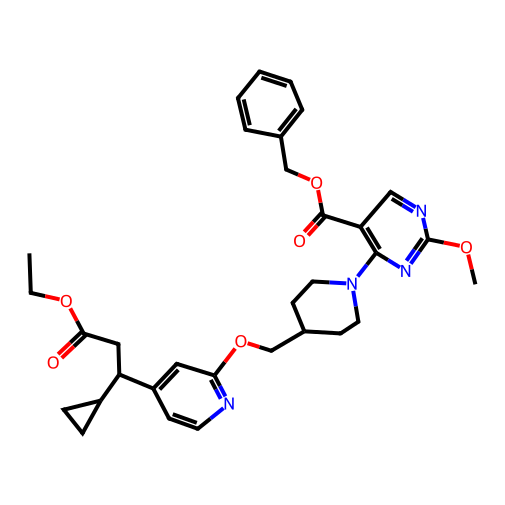 CCOC(=O)CC(c1ccnc(OCC2CCN(c3nc(OC)ncc3C(=O)OCc3ccccc3)CC2)c1)C1CC1